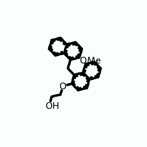 COc1ccc2ccccc2c1Cc1c(OCCO)ccc2ccccc12